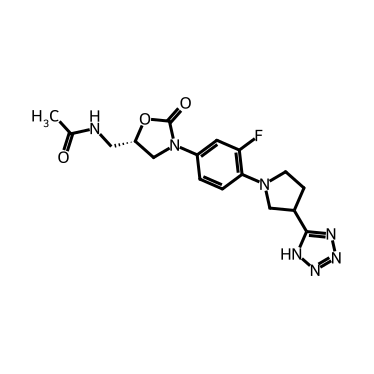 CC(=O)NC[C@H]1CN(c2ccc(N3CCC(c4nnn[nH]4)C3)c(F)c2)C(=O)O1